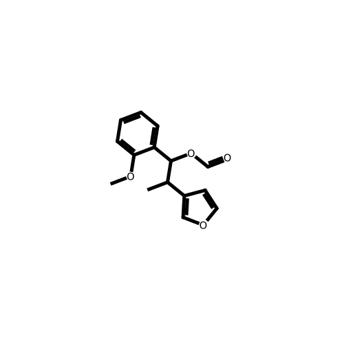 COc1ccccc1C(OC=O)C(C)c1ccoc1